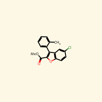 COC(=O)c1oc2ccc(Cl)cc2c1-c1ccccc1C